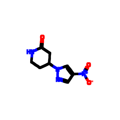 O=C1CC(n2cc([N+](=O)[O-])cn2)CCN1